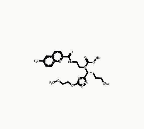 CSCCC[C@H](c1nnc(OCCOC(F)(F)F)o1)N(CCNC(=O)c1ccc2cc(C(F)(F)F)ccc2n1)C(=O)OC(C)(C)C